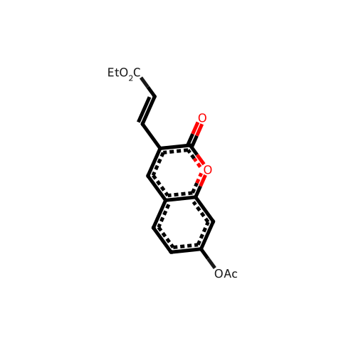 CCOC(=O)C=Cc1cc2ccc(OC(C)=O)cc2oc1=O